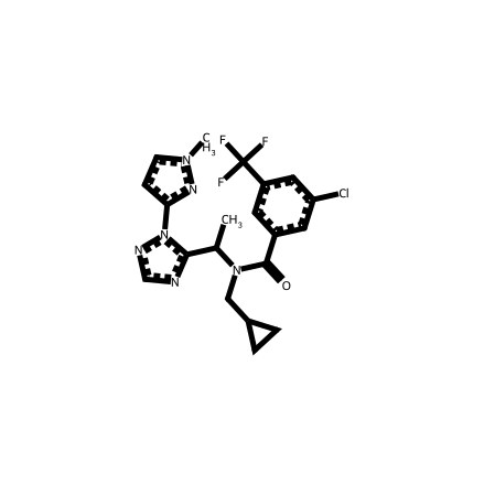 CC(c1ncnn1-c1ccn(C)n1)N(CC1CC1)C(=O)c1cc(Cl)cc(C(F)(F)F)c1